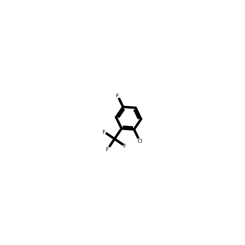 Fc1ccc(Cl)c(C(F)(F)F)c1